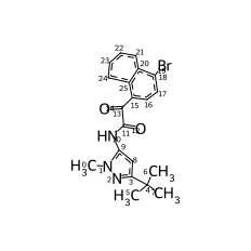 Cn1nc(C(C)(C)C)cc1NC(=O)C(=O)c1ccc(Br)c2ccccc12